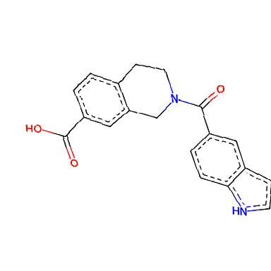 O=C(O)c1ccc2c(c1)CN(C(=O)c1ccc3[nH]ccc3c1)CC2